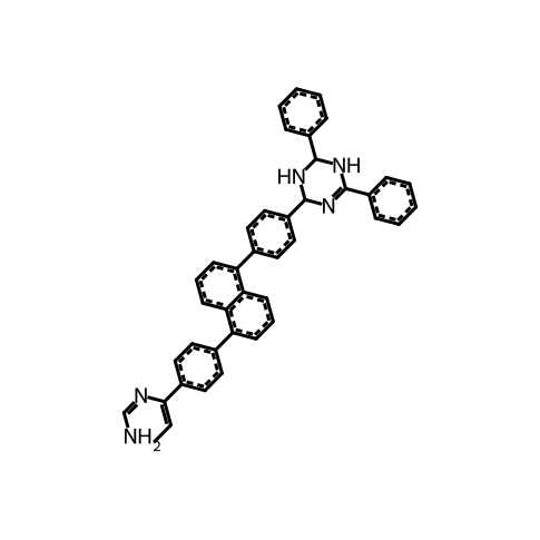 C/C=C(\N=C/N)c1ccc(-c2cccc3c(-c4ccc(C5N=C(c6ccccc6)NC(c6ccccc6)N5)cc4)cccc23)cc1